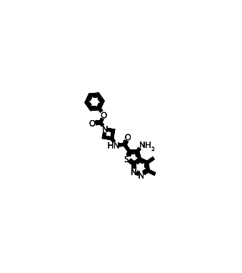 Cc1nnc2sc(C(=O)NC3CN(C(=O)Oc4ccccc4)C3)c(N)c2c1C